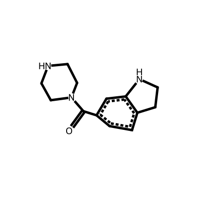 O=C(c1ccc2c(c1)NCC2)N1CCNCC1